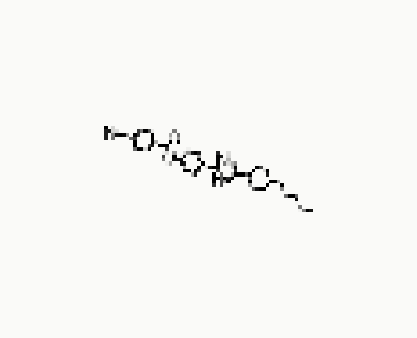 CCCCCC1CCC(c2cnc(-c3ccc(OC(=O)c4ccc(C#N)cc4)cc3)nc2)CC1